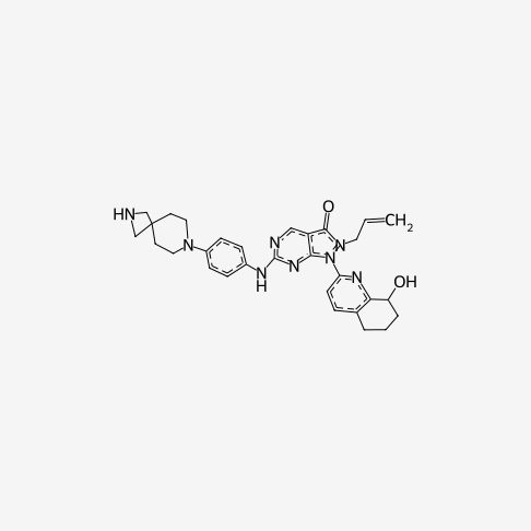 C=CCn1c(=O)c2cnc(Nc3ccc(N4CCC5(CC4)CNC5)cc3)nc2n1-c1ccc2c(n1)C(O)CCC2